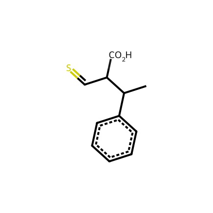 CC(c1ccccc1)C(C=S)C(=O)O